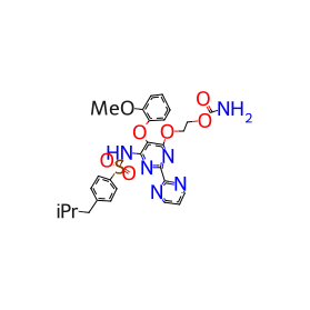 COc1ccccc1Oc1c(NS(=O)(=O)c2ccc(CC(C)C)cc2)nc(-c2ncccn2)nc1OCCOC(N)=O